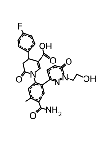 Cc1cc(N2C=C(C(=O)O)[C@H](c3ccc(F)cc3)CC2=O)c(-c2ccc(=O)n(CCO)n2)cc1C(N)=O